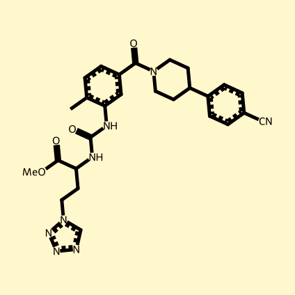 COC(=O)C(CCn1cnnn1)NC(=O)Nc1cc(C(=O)N2CCC(c3ccc(C#N)cc3)CC2)ccc1C